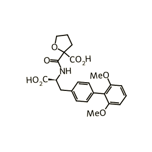 COc1cccc(OC)c1-c1ccc(C[C@H](NC(=O)C2(C(=O)O)CCCO2)C(=O)O)cc1